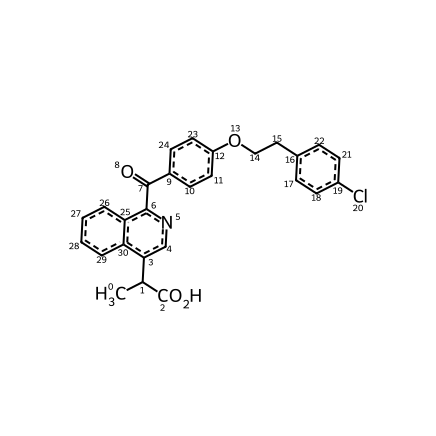 CC(C(=O)O)c1cnc(C(=O)c2ccc(OCCc3ccc(Cl)cc3)cc2)c2ccccc12